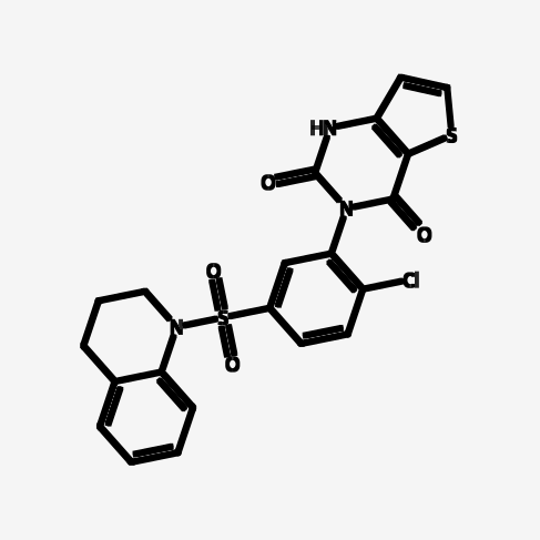 O=c1[nH]c2ccsc2c(=O)n1-c1cc(S(=O)(=O)N2CCCc3ccccc32)ccc1Cl